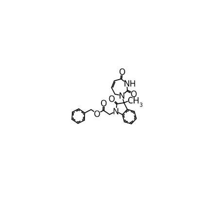 CC1(N2CC=CC(=O)NC2=O)C(=O)N(CC(=O)OCc2ccccc2)c2ccccc21